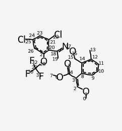 CO/C=C(/C(=O)OC)c1cccc(C)c1CO/N=C(\C)c1c(Cl)cc(Cl)cc1OC(F)(F)F